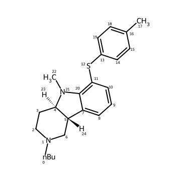 CCCCN1CC[C@@H]2[C@@H](C1)c1cccc(Sc3ccc(C)cc3)c1N2C